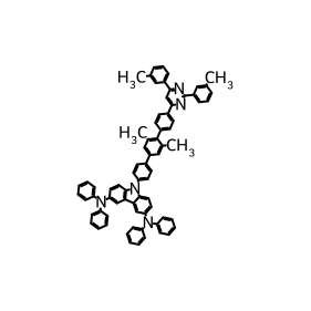 Cc1cccc(-c2cc(-c3ccc(-c4c(C)cc(-c5ccc(-n6c7ccc(N(c8ccccc8)c8ccccc8)cc7c7cc(N(c8ccccc8)c8ccccc8)ccc76)cc5)cc4C)cc3)nc(-c3cccc(C)c3)n2)c1